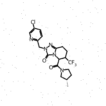 C[C@H]1CCN(C(=O)C2C(C(F)(F)F)CCc3nn(Cc4ccc(Cl)cn4)c(=O)n32)C1